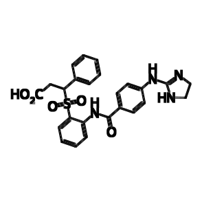 O=C(O)CC(c1ccccc1)S(=O)(=O)c1ccccc1NC(=O)c1ccc(NC2=NCCN2)cc1